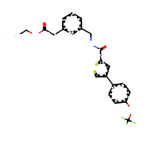 CCOC(=O)Cc1cccc(CNC(=O)c2cc(-c3ccc(OC(F)(F)F)cc3)cs2)c1